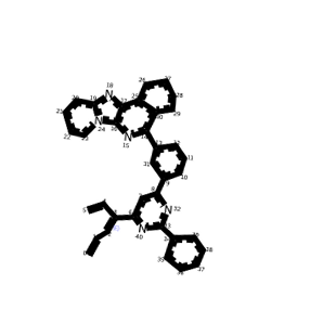 C=C/C=C(\C=C)c1cc(-c2cccc(-c3nc4c(nc5ccccn54)c4ccccc34)c2)nc(-c2ccccc2)n1